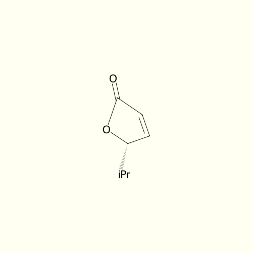 CC(C)[C@H]1C=CC(=O)O1